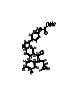 COC(=O)Nc1ccc(-c2cnc3ccc(C(=O)N(CC4CC4)c4ccc(C)c(F)c4)cn23)cn1